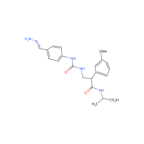 CCOC(=O)C(C)NC(=O)C(CNC(=O)Nc1ccc(C=NN)cc1)c1cccc(OC)c1